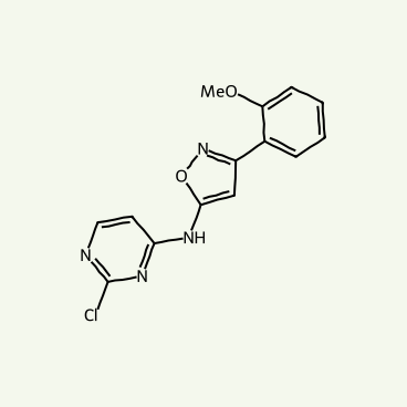 COc1ccccc1-c1cc(Nc2ccnc(Cl)n2)on1